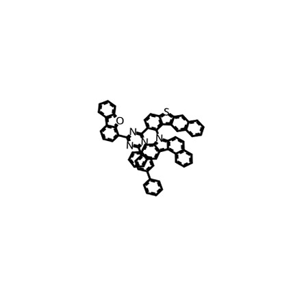 c1ccc(-c2ccc(-c3nc(-c4ccc5sc6cc7ccccc7cc6c5c4-n4c5cc6ccccc6cc5c5c6ccccc6ccc54)nc(-c4cccc5c4oc4ccccc45)n3)cc2)cc1